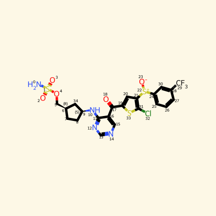 NS(=O)(=O)OC[C@@H]1CC[C@H](Nc2ncncc2C(=O)c2cc([S+]([O-])c3cccc(C(F)(F)F)c3)c(Cl)s2)C1